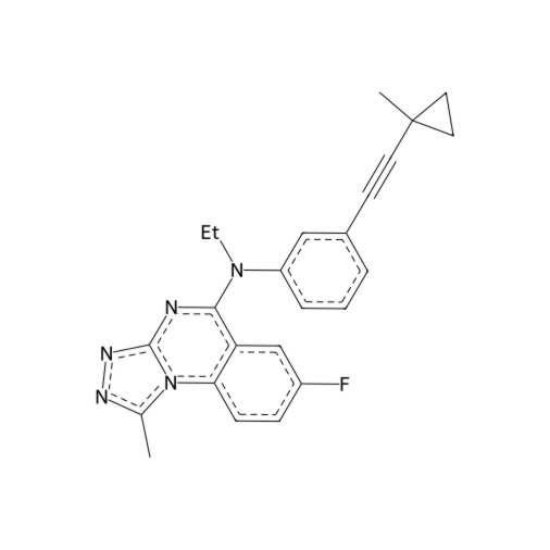 CCN(c1cccc(C#CC2(C)CC2)c1)c1nc2nnc(C)n2c2ccc(F)cc12